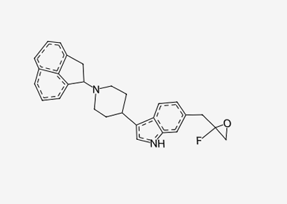 FC1(Cc2ccc3c(C4CCN(C5Cc6cccc7cccc5c67)CC4)c[nH]c3c2)CO1